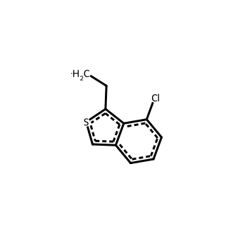 [CH2]Cc1scc2cccc(Cl)c12